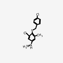 Cc1cc(NN)cc(Cl)c1SCc1ccc(Cl)cc1